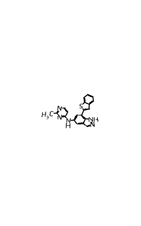 Cc1nccc(Nc2cc(-c3cc4ccccc4s3)c3[nH]ncc3c2)n1